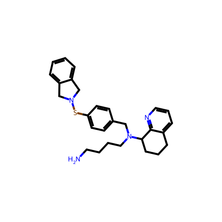 NCCCCN(Cc1ccc(SN2Cc3ccccc3C2)cc1)C1CCCc2cccnc21